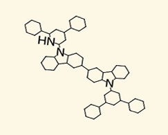 C1CCC(C2CC(C3CCCCC3)CC(N3C4CCCCC4C4CC(C5CCC6C(C5)C5CCCCC5N6C5CC(C6CCCCC6)CC(C6CCCCC6)N5)CCC43)C2)CC1